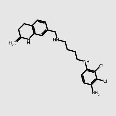 C=C1CCc2ccc(CNCCCCNc3ccc(N)c(Cl)c3Cl)cc2N1